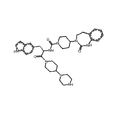 O=C(NC(Cc1ccc2[nH]ccc2c1)C(=O)N1CCC(N2CCNCC2)CC1)N1CCC(N2CCc3ccccc3NC2=O)CC1